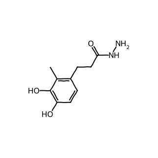 Cc1c(CCC(=O)NN)ccc(O)c1O